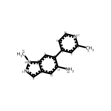 Cc1cc(-c2cc3c(cnn3C)cc2N)ccn1